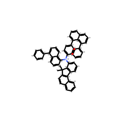 CC1(C)c2ccc3ccccc3c2-c2cccc(N(c3ccc(-c4cccc5cccc(-c6ccccc6)c45)cc3)c3cccc4c(-c5ccccc5)cccc34)c21